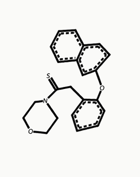 S=C(Cc1ccccc1Oc1ccc2ccccc2c1)N1CCOCC1